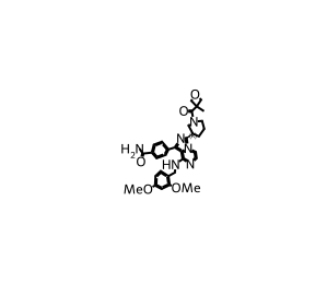 COc1ccc(CNc2nccn3c([C@@H]4CCCN(C(=O)C5(C)COC5)C4)nc(-c4ccc(C(N)=O)cc4)c23)c(OC)c1